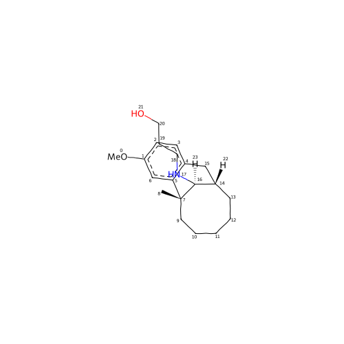 COc1ccc2c(c1)[C@@]1(C)CCCCC[C@@H](C2)[C@@H]1NCCCO